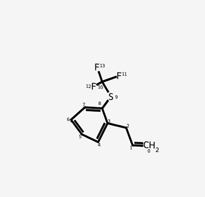 C=CCc1cc[c]cc1SC(F)(F)F